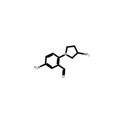 Nc1ccc(N2CCC(N)C2)c(C=O)c1